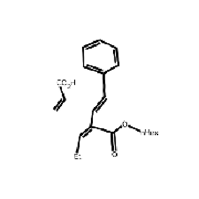 C=CC(=O)O.CCC=C(C=Cc1ccccc1)C(=O)OCCCCCC